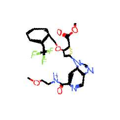 COCCNC(=O)c1cc2c(cn1)ncn2-c1cc(OCc2ccccc2C(F)(F)F)c(C(=O)OC)s1